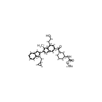 Cc1c(-c2cc3ccccc3n2CC2CC2)sc2cc(C(=O)N3CCCC(NC(=O)OC(C)(C)C)C3)cc(CCO)c12